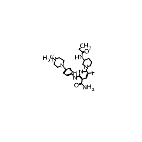 C=CC(=O)NC1CCCN(c2nc(Nc3ccc(N4CCN(C)CC4)cc3)c(C(N)=O)cc2F)C1